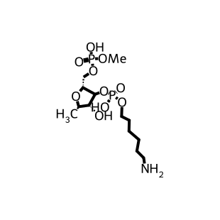 COP(=O)(O)OC[C@H]1O[C@@H](C)[C@@H](O)C1OP(=O)(O)OCCCCCCN